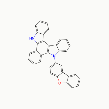 c1ccc2c(c1)[nH]c1c3ccccc3c3c(c4ccccc4n3-c3ccc4oc5ccccc5c4c3)c21